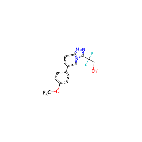 OCC(F)(F)c1nnc2ccc(-c3ccc(OC(F)(F)F)cc3)cn12